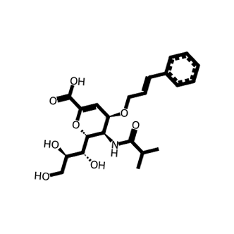 CC(C)C(=O)N[C@H]1[C@H]([C@H](O)[C@H](O)CO)OC(C(=O)O)=C[C@H]1OC/C=C/c1ccccc1